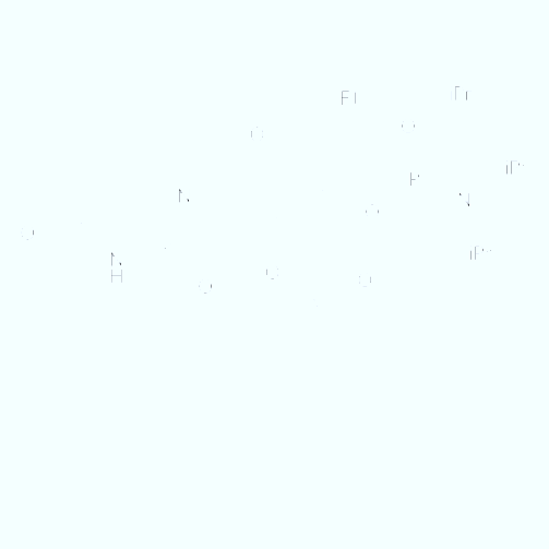 CC[C@H]1O[C@@H](n2ccc(=O)[nH]c2=O)C(OC(=O)c2ccccc2)[C@H]1OP(OC(C)C)N(C(C)C)C(C)C